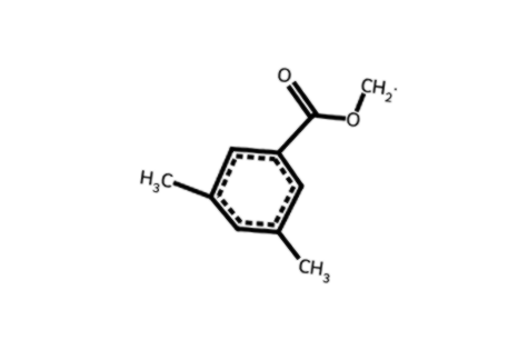 [CH2]OC(=O)c1cc(C)cc(C)c1